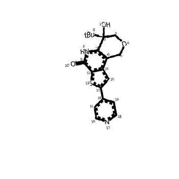 CC(C)(C)[C@@]1(O)COCc2c1[nH]c(=O)c1sc(-c3ccncc3)cc21